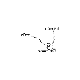 CCCCCCCCCCCCCCCCCC#CCCCc1ccccc1/N=C(\C=N\c1ccccc1CCCC#CCCCCCCCCCCCCCCCCC)CCCCC.[Pd]